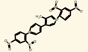 Cc1c[n+](-c2ccc([N+](=O)[O-])cc2[N+](=O)[O-])ccc1-c1cc[n+](-c2ccc([N+](=O)[O-])cc2[N+](=O)[O-])cc1